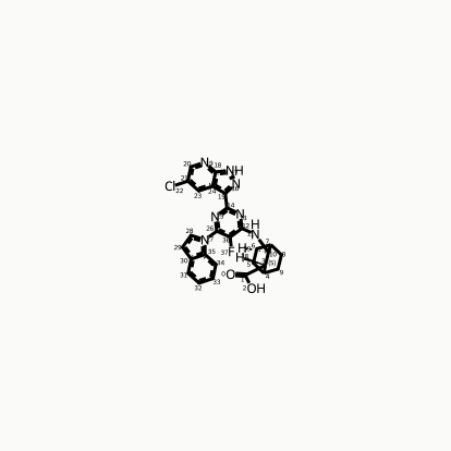 O=C(O)[C@H]1C2CCC(CC2)[C@@H]1Nc1nc(-c2n[nH]c3ncc(Cl)cc23)nc(-n2ccc3ccccc32)c1F